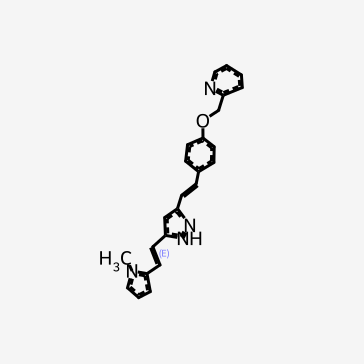 Cn1cccc1/C=C/c1cc(C=Cc2ccc(OCc3ccccn3)cc2)n[nH]1